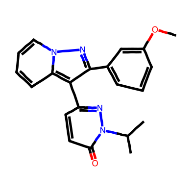 COc1cccc(-c2nn3ccccc3c2-c2ccc(=O)n(C(C)C)n2)c1